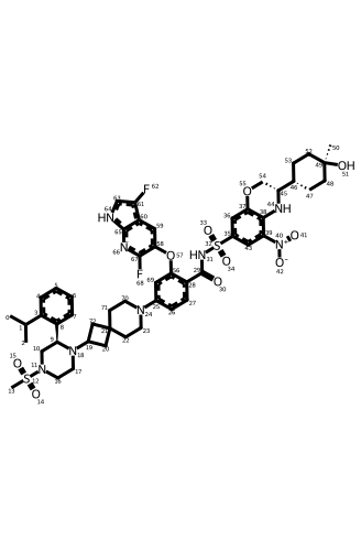 CC(C)c1ccccc1[C@@H]1CN(S(C)(=O)=O)CCN1C1CC2(CCN(c3ccc(C(=O)NS(=O)(=O)c4cc5c(c([N+](=O)[O-])c4)N[C@@H]([C@H]4CC[C@](C)(O)CC4)CO5)c(Oc4cc5c(F)c[nH]c5nc4F)c3)CC2)C1